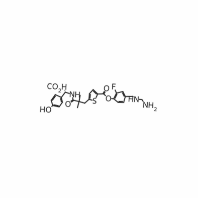 CC(C)(Cc1ccc(C(=O)Oc2ccc(CNCN)cc2F)s1)C(=O)N[C@@H](C(=O)O)c1ccc(O)cc1